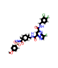 COc1ccc(S(=O)(=O)NC(=O)C2(C)CCC(C)(CNC(=O)c3cc(C(=O)NCc4ccc(F)c(Cl)c4)nc4c(F)cnn34)CC2)cc1